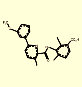 Cc1ccc(-c2cccc(OC(F)(F)F)c2)nc1C(=O)Nc1c(C)ccc(C(=O)O)c1C